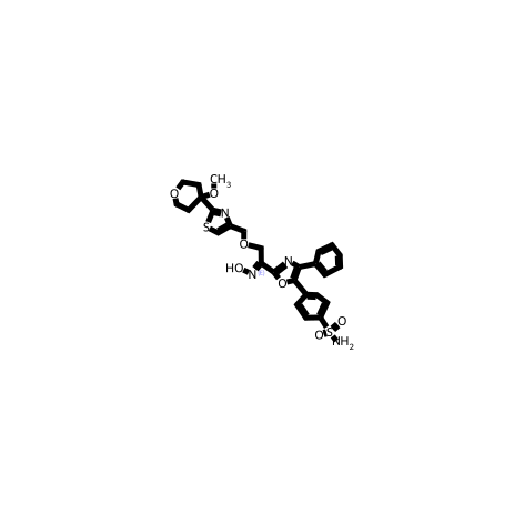 COC1(c2nc(COC/C(=N\O)c3nc(-c4ccccc4)c(-c4ccc(S(N)(=O)=O)cc4)o3)cs2)CCOCC1